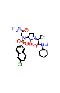 CCC(C(=O)NC1CCCCC1)N1CCC(N(CC(N)=O)S(=O)(=O)c2ccc3cc(Cl)ccc3c2)C1=O